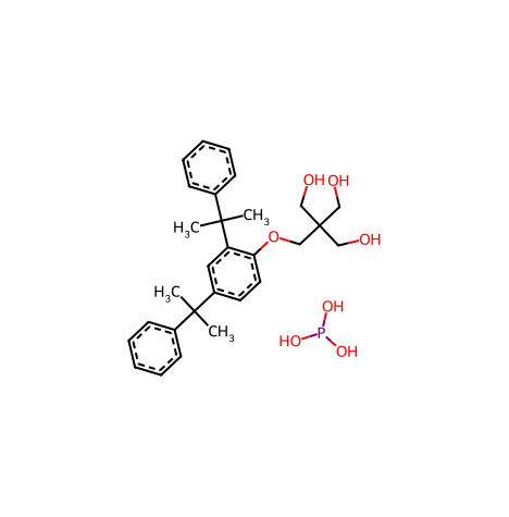 CC(C)(c1ccccc1)c1ccc(OCC(CO)(CO)CO)c(C(C)(C)c2ccccc2)c1.OP(O)O